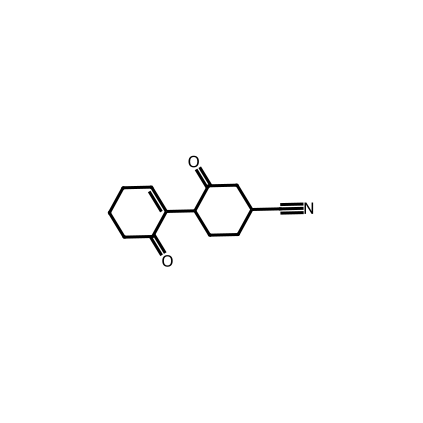 N#CC1CCC(C2=CCCCC2=O)C(=O)C1